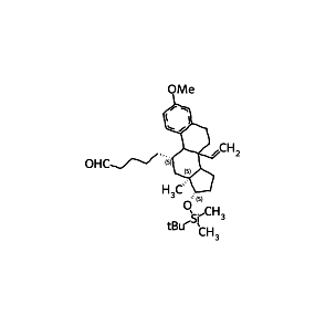 C=CC12CCc3cc(OC)ccc3C1[C@@H](CCCCC=O)C[C@@]1(C)C2CC[C@@H]1O[Si](C)(C)C(C)(C)C